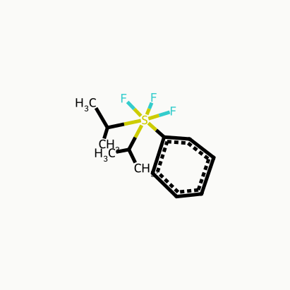 CC(C)S(F)(F)(F)(c1ccccc1)C(C)C